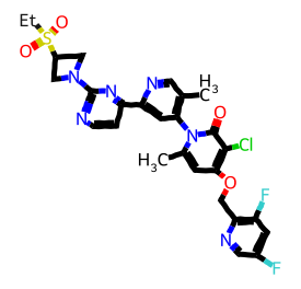 CCS(=O)(=O)C1CN(c2nccc(-c3cc(-n4c(C)cc(OCc5ncc(F)cc5F)c(Cl)c4=O)c(C)cn3)n2)C1